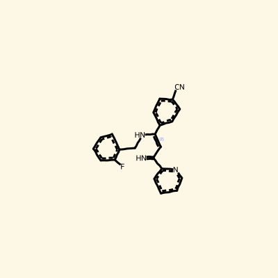 N#Cc1ccc(/C(=C/C(=N)c2ccccn2)NCc2ccccc2F)cc1